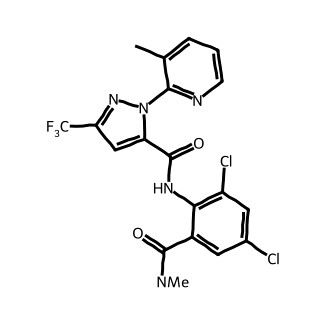 CNC(=O)c1cc(Cl)cc(Cl)c1NC(=O)c1cc(C(F)(F)F)nn1-c1ncccc1C